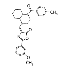 COc1cccc(C2=NC(=CN3CCN(C(=O)c4ccc(C)cc4)C4CCCCC43)C(=O)O2)c1